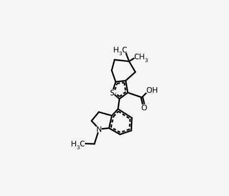 CCN1CCc2c(-c3sc4c(c3C(=O)O)CC(C)(C)CC4)cccc21